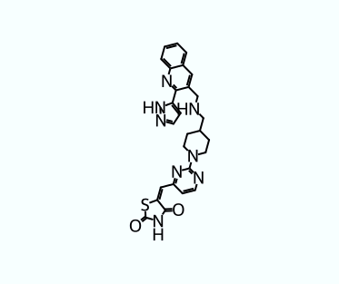 O=C1NC(=O)/C(=C\c2ccnc(N3CCC(CNCc4cc5ccccc5nc4-c4ccn[nH]4)CC3)n2)S1